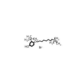 CO[Si](C)(C)CCCCCCCCOc1ccc(O)cc1[P+](C)(C)C.[Br-]